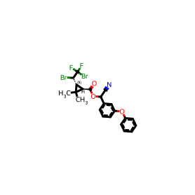 CC1(C)[C@H](C(=O)OC(C#N)c2cccc(Oc3ccccc3)c2)[C@H]1C(Br)C(F)(F)Br